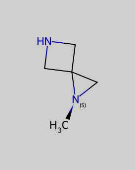 C[N@]1CC12CNC2